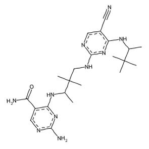 CC(Nc1nc(NCC(C)(C)C(C)Nc2nc(N)ncc2C(N)=O)ncc1C#N)C(C)(C)C